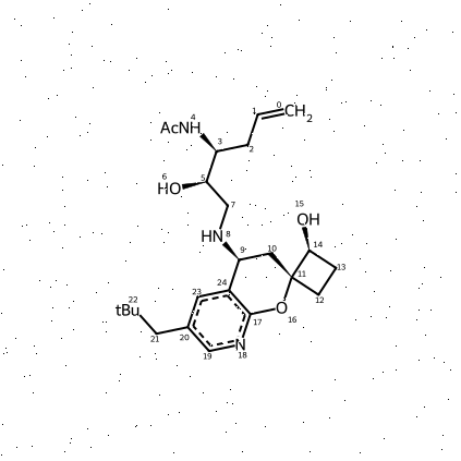 C=CC[C@H](NC(C)=O)[C@H](O)CN[C@H]1C[C@@]2(CC[C@@H]2O)Oc2ncc(CC(C)(C)C)cc21